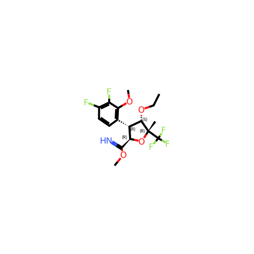 CCO[C@H]1[C@@H](c2ccc(F)c(F)c2OC)[C@H](C(=N)OC)O[C@@]1(C)C(F)(F)F